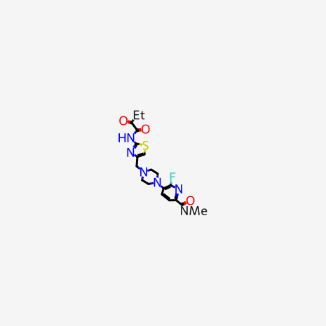 CCC(=O)C(=O)Nc1nc(CN2CCN(c3ccc(C(=O)NC)nc3F)CC2)cs1